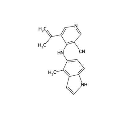 C=C(C)c1cncc(C#N)c1Nc1ccc2[nH]ccc2c1C